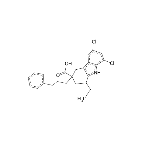 CCC1CC(CCCc2ccccc2)(C(=O)O)Cc2c1[nH]c1c(Cl)cc(Cl)cc21